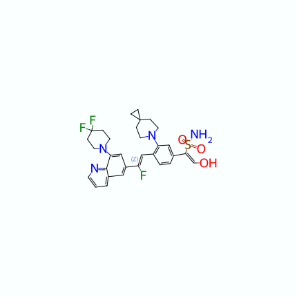 NS(=O)(=O)C(=CO)c1ccc(/C=C(\F)c2cc(N3CCC(F)(F)CC3)c3ncccc3c2)c(N2CCC3(CC2)CC3)c1